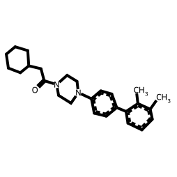 Cc1cccc(-c2ccc(N3CCN(C(=O)CC4CCCCC4)CC3)cc2)c1C